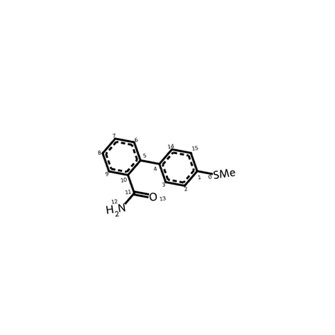 CSc1ccc(-c2ccccc2C(N)=O)cc1